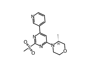 C[C@@H]1COCCN1c1cc(-c2cccnc2)nc(S(C)(=O)=O)n1